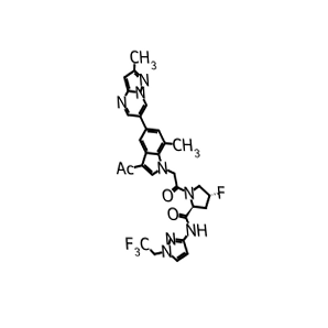 CC(=O)c1cn(CC(=O)N2C[C@H](F)C[C@H]2C(=O)Nc2ccn(CC(F)(F)F)n2)c2c(C)cc(-c3cnc4cc(C)nn4c3)cc12